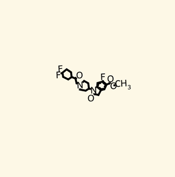 COC(=O)c1cc2c(cc1F)N(C1CCN(CC(=O)C3CCC(F)(F)CC3)CC1)C(=O)C2